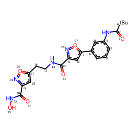 CC(C)(C)C(=O)Nc1cccc(-c2cc(C(=O)NCCc3cc(C(=O)NO)no3)no2)c1